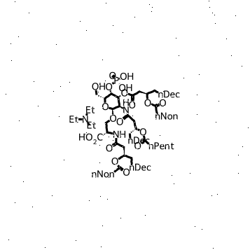 CCCCCCCCCCC[C@H](CC(=O)N[C@H]1[C@@H](OC[C@H](NC(=O)C[C@@H](CCCCCCCCCCC)OC(=O)CCCCCCCCC)C(=O)O)O[C@H](CO)[C@@H](OP(=O)(O)O)[C@@H]1OC(=O)C[C@@H](CCCCCCCCCCC)OC(=O)CCCCCCCCC)OC(=O)CCCCC.CCN(CC)CC